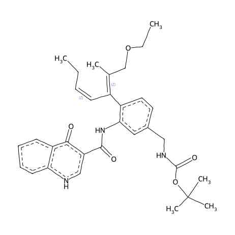 CC/C=C\C(=C(/C)COCC)c1ccc(CNC(=O)OC(C)(C)C)cc1NC(=O)c1c[nH]c2ccccc2c1=O